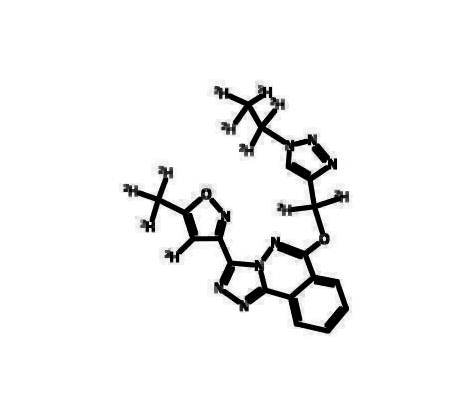 [2H]c1c(-c2nnc3c4ccccc4c(OC([2H])([2H])c4cn(C([2H])([2H])C([2H])([2H])[2H])nn4)nn23)noc1C([2H])([2H])[2H]